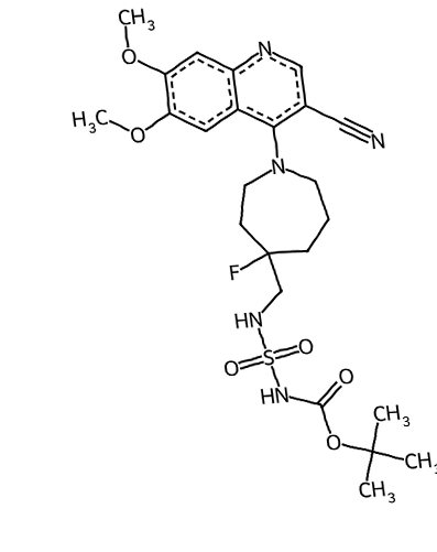 COc1cc2ncc(C#N)c(N3CCCC(F)(CNS(=O)(=O)NC(=O)OC(C)(C)C)CC3)c2cc1OC